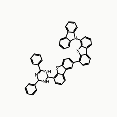 c1ccc(C2=NC(c3ccccc3)NC(c3cccc4c3sc3ccc(-c5cccc6c5sc5c(-n7c8ccccc8c8ccccc87)cccc56)cc34)N2)cc1